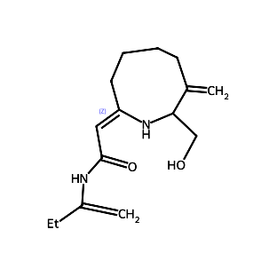 C=C(CC)NC(=O)/C=C1/CCCCC(=C)C(CO)N1